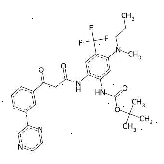 CCCN(C)c1cc(NC(=O)OC(C)(C)C)c(NC(=O)CC(=O)c2cccc(-c3cnccn3)c2)cc1C(F)(F)F